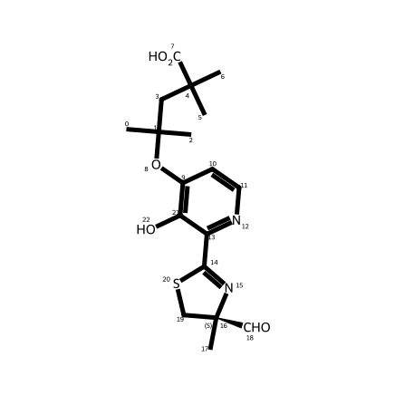 CC(C)(CC(C)(C)C(=O)O)Oc1ccnc(C2=N[C@@](C)(C=O)CS2)c1O